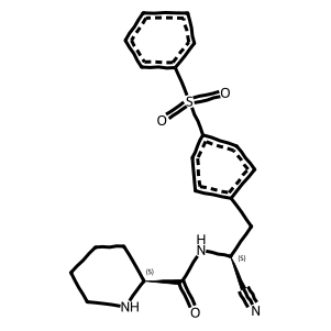 N#C[C@H](Cc1ccc(S(=O)(=O)c2ccccc2)cc1)NC(=O)[C@@H]1CCCCN1